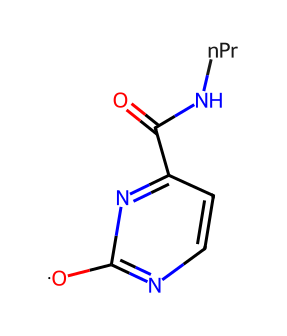 CCCNC(=O)c1ccnc([O])n1